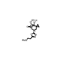 CNCCc1nnc([C@@H]2CC3(CC3)[C@@H]3CN2C(=O)N3OS(=O)(=O)O)o1